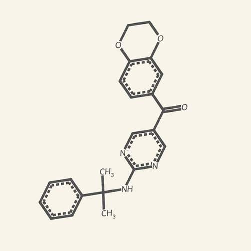 CC(C)(Nc1ncc(C(=O)c2ccc3c(c2)OCCO3)cn1)c1ccccc1